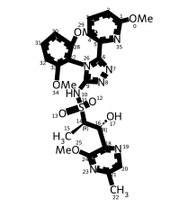 COc1cccc(-c2nnc(NS(=O)(=O)[C@H](C)[C@H](O)c3ncc(C)nc3OC)n2-c2c(OC)cccc2OC)n1